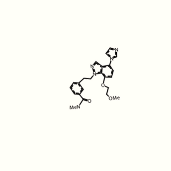 CNC(=O)c1cccc(CCn2ncc3c(-n4ccnc4)ccc(OCCOC)c32)c1